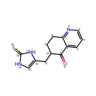 O=C1c2cccnc2CCC1Cc1c[nH]c(=S)[nH]1